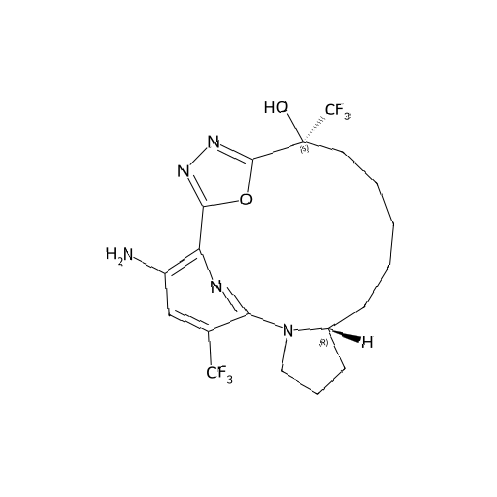 Nc1cc(C(F)(F)F)c2nc1-c1nnc(o1)[C@](O)(C(F)(F)F)CCCCC[C@@H]1CCCN21